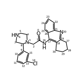 O=C(CN1CCNCC1c1cccc(Cl)c1)Nc1c2c(nc3ccccc13)CCCC2